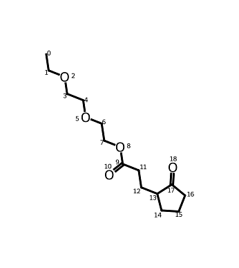 CCOCCOCCOC(=O)CCC1CCCC1=O